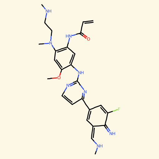 C=CC(=O)Nc1cc(Nc2nccc(C3=C/C(=C/NC)C(=N)C(F)=C3)n2)c(OC)cc1N(C)CCNC